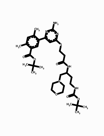 Cc1cc(C)c(-c2cc(SCCC(=O)NC(CCNC(=O)OC(C)(C)C)CN3CCOCC3)nc(N)n2)cc1C(=O)OC(C)(C)C